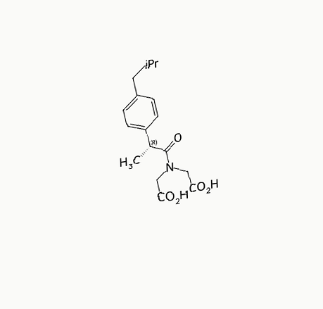 CC(C)Cc1ccc([C@@H](C)C(=O)N(CC(=O)O)CC(=O)O)cc1